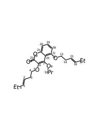 CCC=CCCOc1c(OC(C)C)c2c(OCCC=CCC)cccc2oc1=O